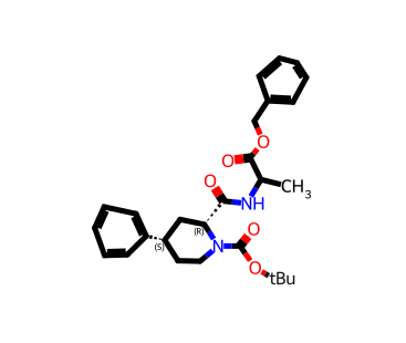 CC(NC(=O)[C@H]1C[C@@H](c2ccccc2)CCN1C(=O)OC(C)(C)C)C(=O)OCc1ccccc1